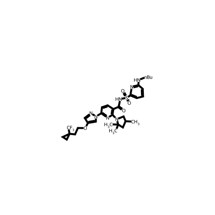 CCCCNc1cccc(S(=O)(=O)NC(=O)c2ccc(-n3cc(OCCC4(C(F)(F)F)CC4)cn3)nc2N2CC(C)CC2(C)C)n1